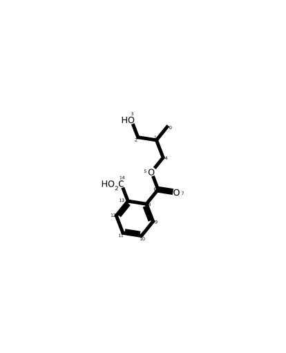 CC(CO)COC(=O)c1ccccc1C(=O)O